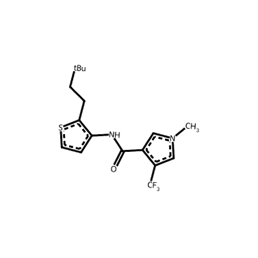 Cn1cc(C(=O)Nc2ccsc2CCC(C)(C)C)c(C(F)(F)F)c1